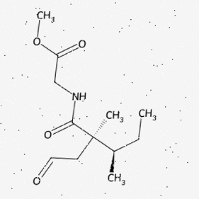 CC[C@@H](C)[C@@](C)(CC=O)C(=O)NCC(=O)OC